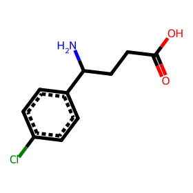 NC(CCC(=O)O)c1ccc(Cl)cc1